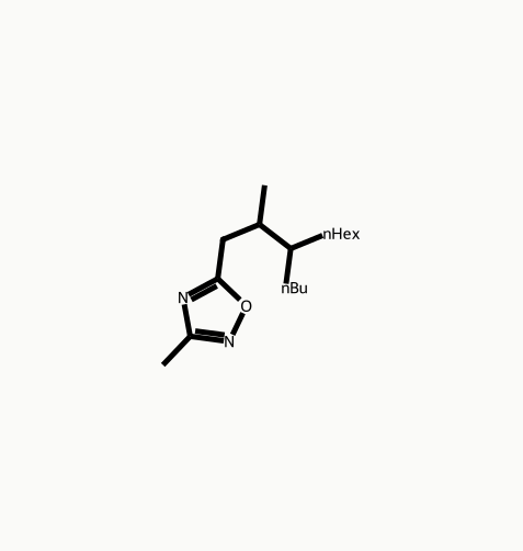 CCCCCCC(CCCC)C(C)Cc1nc(C)no1